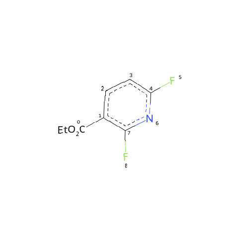 CCOC(=O)c1ccc(F)nc1F